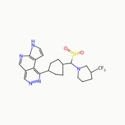 O=[SH](=O)C(C1CCC(c2nncc3cnc4[nH]ccc4c23)CC1)N1CCCC(C(F)(F)F)C1